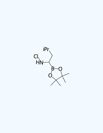 CC(C)CC(NCl)B1OC(C)(C)C(C)(C)O1